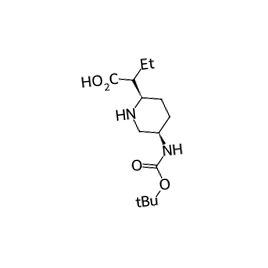 CCC(C(=O)O)[C@H]1CC[C@@H](NC(=O)OC(C)(C)C)CN1